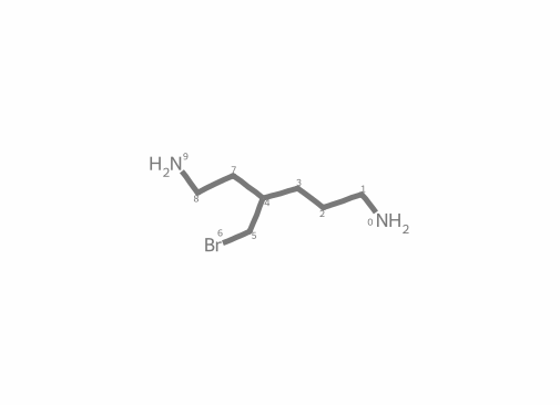 NCCCC(CBr)CCN